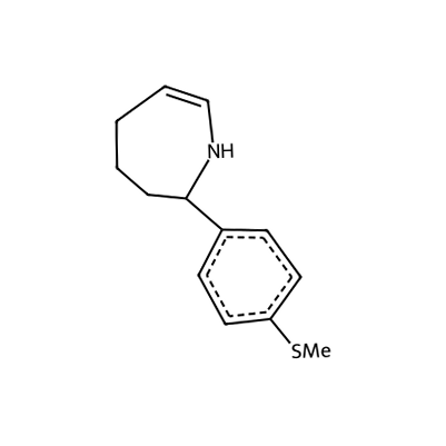 CSc1ccc(C2CCCC=CN2)cc1